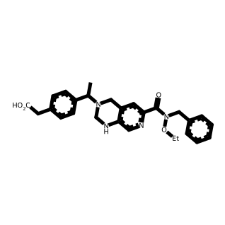 CCON(Cc1ccccc1)C(=O)c1cc2c(cn1)NCN(C(C)c1ccc(CC(=O)O)cc1)C2